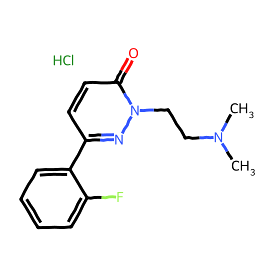 CN(C)CCn1nc(-c2ccccc2F)ccc1=O.Cl